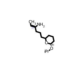 C/C=C(\N)CCCC1CCC[C@H](OC(C)C)O1